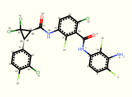 Nc1c(F)ccc(NC(=O)c2c(Cl)ccc(NC(=O)[C@H]3[C@H](c4ccc(F)c(Cl)c4)C3(Cl)Cl)c2F)c1F